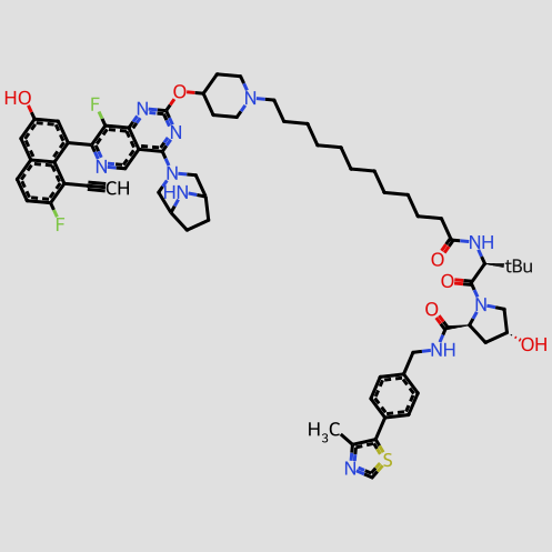 C#Cc1c(F)ccc2cc(O)cc(-c3ncc4c(N5CC6CCC(C5)N6)nc(OC5CCN(CCCCCCCCCCCC(=O)N[C@H](C(=O)N6C[C@H](O)C[C@H]6C(=O)NCc6ccc(-c7scnc7C)cc6)C(C)(C)C)CC5)nc4c3F)c12